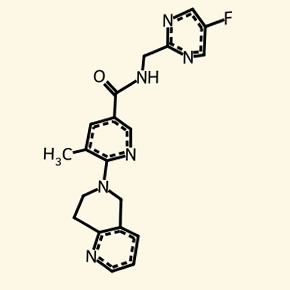 Cc1cc(C(=O)NCc2ncc(F)cn2)cnc1N1CCc2ncccc2C1